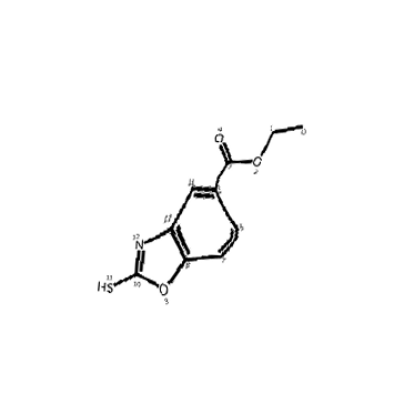 CCOC(=O)c1ccc2oc(S)nc2c1